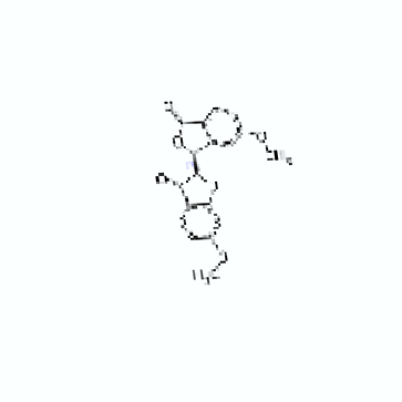 COc1ccc2c(c1)O/C(=C1/OC(=O)c3ccc(OC)cc31)C2=O